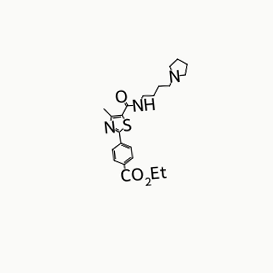 CCOC(=O)c1ccc(-c2nc(C)c(C(=O)NCCCCN3CCCC3)s2)cc1